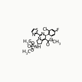 COC(=O)C1=C2C[C@H](NP(=O)(OC)OC)CN2C(c2nccs2)=N[C@H]1c1ccc(F)cc1Cl